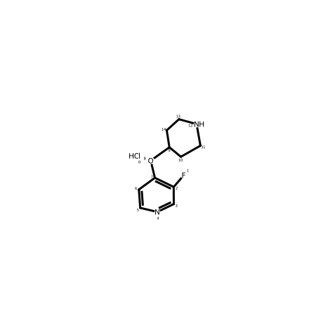 Cl.Fc1cnccc1OC1CCNCC1